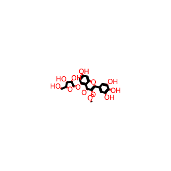 COOc1c(-c2cc(O)c(O)c(O)c2)oc2cc(O)cc(OC3OC(CO)C(O)C3O)c2c1=O